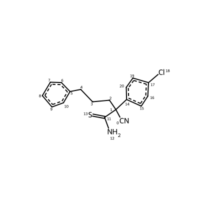 N#CC(CCCc1ccccc1)(C(N)=S)c1ccc(Cl)cc1